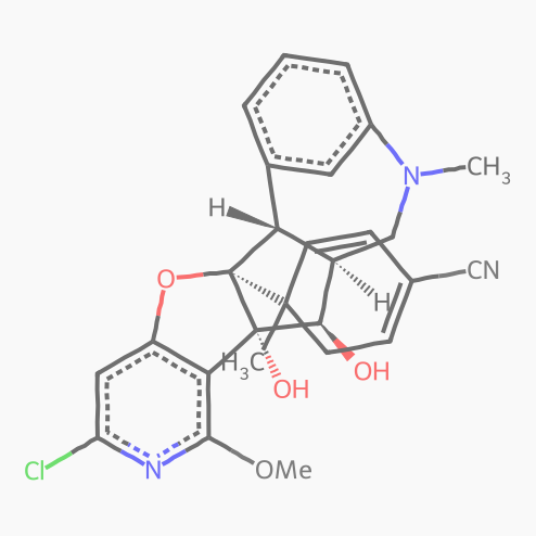 COc1nc(Cl)cc2c1[C@]1(O)[C@H](O)[C@@H]3CN(C)c4cccc(c4)[C@H]3[C@]1(C1(C)C=CC(C#N)=CC1)O2